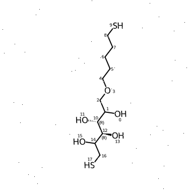 OC(COCCCCCS)[C@@H](O)[C@@H](O)C(O)CS